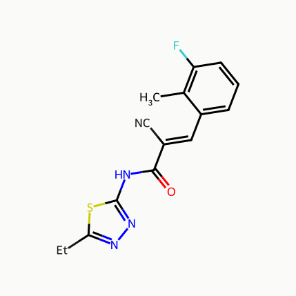 CCc1nnc(NC(=O)/C(C#N)=C/c2cccc(F)c2C)s1